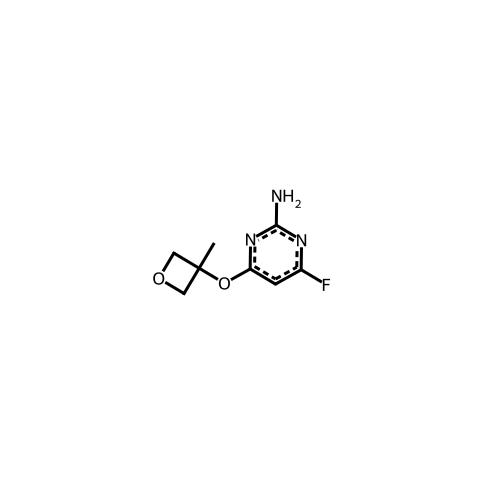 CC1(Oc2cc(F)nc(N)n2)COC1